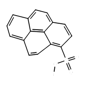 O=S(=O)(OI)c1ccc2ccc3cccc4ccc1c2c34